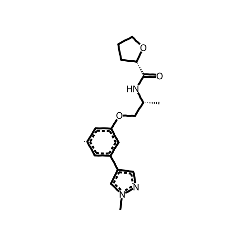 C[C@H](COc1c[c]cc(-c2cnn(C)c2)c1)NC(=O)[C@@H]1CCCO1